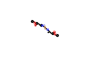 C=CC(/C=C/c1ccc(OCc2ccccc2)c(OC)c1)=C\C=N\CCSSCC[n+]1ccc(/C=C/c2ccc(OCc3ccccc3)c(OC)c2)cc1